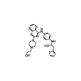 OCCN1CCN(c2nc(Nc3ccc(NC(O)Cc4cccs4)cc3)c3nccnc3n2)CC1